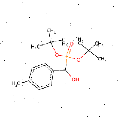 Cc1ccc(C(O)P(=O)(OC(C)(C)C)OC(C)(C)C)cc1